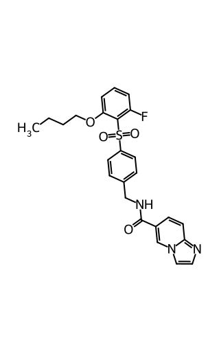 CCCCOc1cccc(F)c1S(=O)(=O)c1ccc(CNC(=O)c2ccc3nccn3c2)cc1